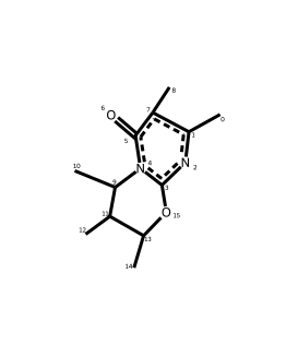 Cc1nc2n(c(=O)c1C)C(C)C(C)C(C)O2